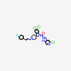 O=C(NCc1ccnc(Cl)c1)N1CC2(CCN(C/C=C/c3ccc(F)cc3)CC2)c2cc(Cl)c(Cl)cc21